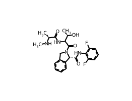 CN[C@@H](C)C(=O)N[C@H](C(=O)N1Cc2ccccc2[C@H]1C(=O)Nc1c(F)cccc1F)[C@@H](C)O